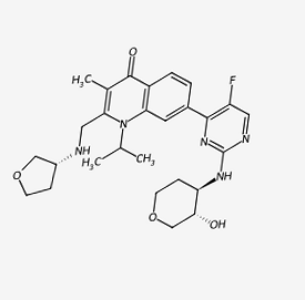 Cc1c(CN[C@@H]2CCOC2)n(C(C)C)c2cc(-c3nc(N[C@@H]4CCOC[C@H]4O)ncc3F)ccc2c1=O